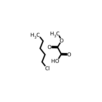 CCCCCCl.COC(=O)C(=O)O